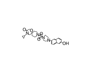 O=C1COC2(CCN(S(=O)(=O)N3CCN(c4ccc5cc(O)ccc5c4)CC3)CC2)CN1C1CC1